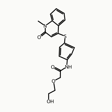 Cn1c(=O)cc(Sc2ccc(NC(=O)COCCO)cc2)c2ccccc21